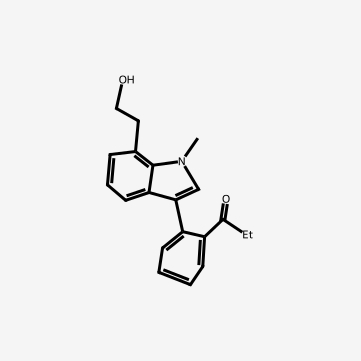 CCC(=O)c1ccccc1-c1cn(C)c2c(CCO)cccc12